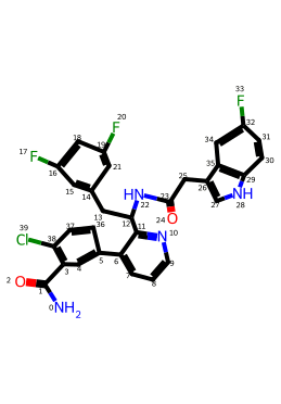 NC(=O)c1cc(-c2cccnc2C(Cc2cc(F)cc(F)c2)NC(=O)Cc2c[nH]c3ccc(F)cc23)ccc1Cl